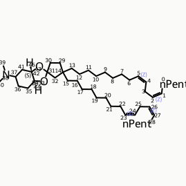 CCCCC/C=C\C/C=C\CCCCCCCCC1(CCCCCCCC/C=C\C/C=C\CCCCC)CCC2(C1)O[C@H]1CCC(N(C)C)C[C@@H]1O2